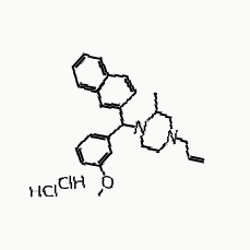 C=CCN1CCN(C(c2cccc(OC)c2)c2ccc3ccccc3c2)C(C)C1.Cl.Cl